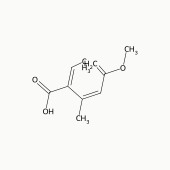 C=C(/C=C(C)\C(=C/C)C(=O)O)OC